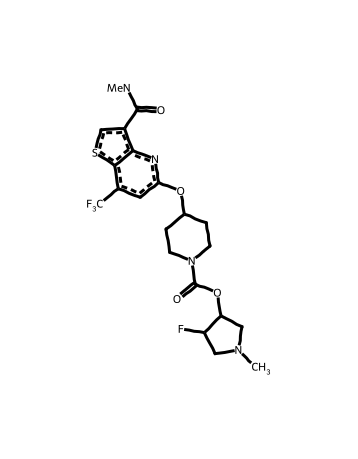 CNC(=O)c1csc2c(C(F)(F)F)cc(OC3CCN(C(=O)OC4CN(C)CC4F)CC3)nc12